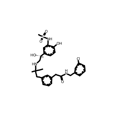 CC(C)(Cc1cccc(CC(=O)NCc2cccc(Cl)c2)c1)NC[C@H](O)c1ccc(O)c(NS(C)(=O)=O)c1